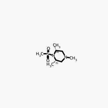 C[C@@H]1CN(C)C[C@H](C)N1S(C)(=O)=O